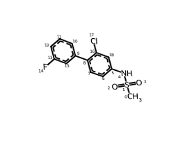 CS(=O)(=O)Nc1ccc(-c2cccc(F)c2)c(Cl)c1